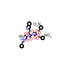 CC(C)(C)[C@@H](O)C(C(=O)NCCc1ccccc1)N1C(=O)C(N2C(=O)C(OC(=O)c3cccc([N+](=O)[O-])c3)[C@H](OC(=O)c3cccc([N+](=O)[O-])c3)C2=O)C1CCc1cc2ccccc2cn1